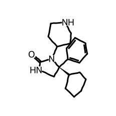 O=C1NC[C@](c2ccccc2)(C2CCCCC2)N1C1CCNCC1